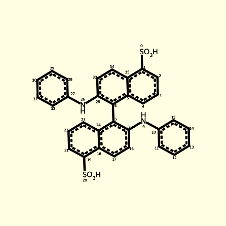 O=S(=O)(O)c1cccc2c(-c3c(Nc4ccccc4)ccc4c(S(=O)(=O)O)cccc34)c(Nc3ccccc3)ccc12